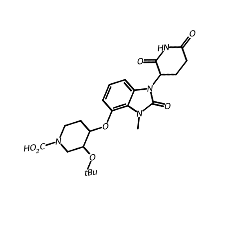 Cn1c(=O)n(C2CCC(=O)NC2=O)c2cccc(OC3CCN(C(=O)O)CC3OC(C)(C)C)c21